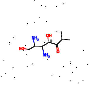 CC(C)C(=O)[C@@H](O)C(N)C(N)CO